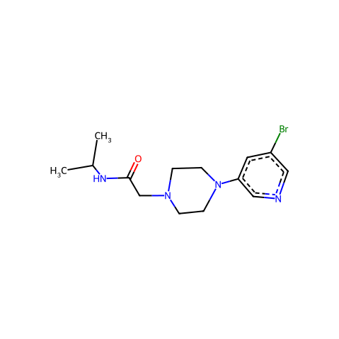 CC(C)NC(=O)CN1CCN(c2cncc(Br)c2)CC1